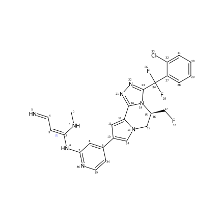 CN/C(=C\C=N)Nc1cc(-c2cc3n(c2)C[C@H](CF)n2c-3nnc2C(F)(F)c2ccccc2Cl)ccn1